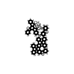 CC1(C)c2ccccc2-c2c1c1c(c3c2oc2ccccc23)-c2ccc(N(c3ccc4c(c3)C3(c5ccccc5-c5ccccc53)c3cc5c(cc3-4)C3(c4ccccc4-c4ccccc43)c3ccc4oc6ccccc6c4c3-5)c3ccc4oc5ccccc5c4c3)cc2C1(C)C